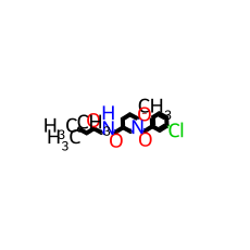 COc1ccc(Cl)cc1C(=O)N1CCCC(C(=O)NCC(=O)CC(C)(C)C)C1